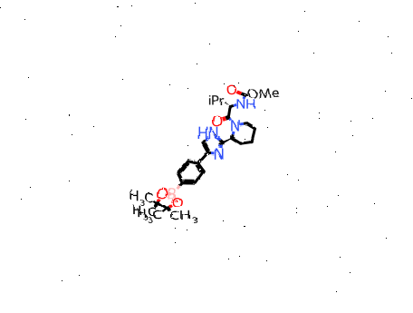 COC(=O)N[C@H](C(=O)N1CCCC[C@H]1c1nc(-c2ccc(B3OC(C)(C)C(C)(C)O3)cc2)c[nH]1)C(C)C